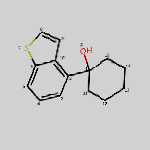 OC1(c2cccc3sccc23)CCCCC1